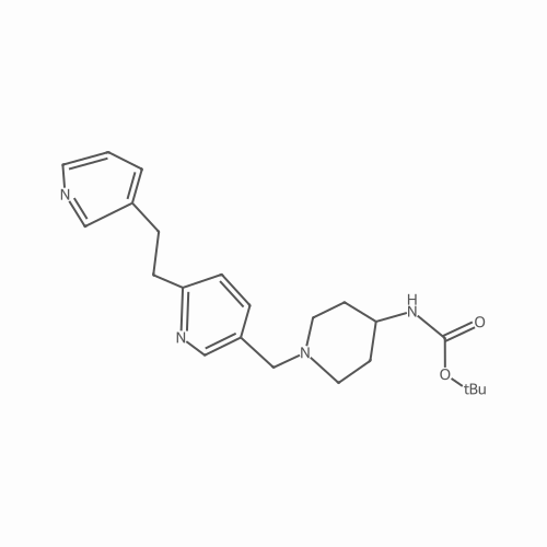 CC(C)(C)OC(=O)NC1CCN(Cc2ccc(CCc3cccnc3)nc2)CC1